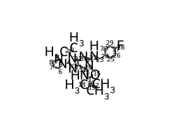 CC(C)n1c(-n2cccn2)nc2c(NC(=O)C(C)(C)C)nc(NCc3ccc(F)cc3)nc21